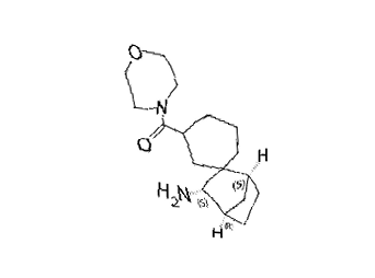 N[C@H]1[C@@H]2CC[C@@H](C2)C12CCCC(C(=O)N1CCOCC1)C2